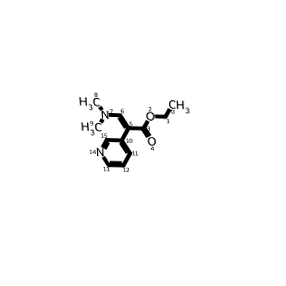 CCOC(=O)/C(=C/N(C)C)c1cccnc1